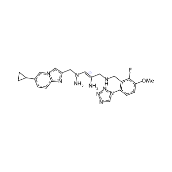 COc1ccc(-n2cnnn2)c(CNC/C(N)=C/N(N)Cc2cn3cc(C4CC4)ccc3n2)c1F